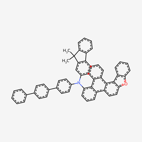 CC1(C)c2ccccc2-c2ccc(N(c3ccc(-c4ccc(-c5ccccc5)cc4)cc3)c3cccc4c5ccc6oc7ccccc7c6c5c5ccccc5c34)cc21